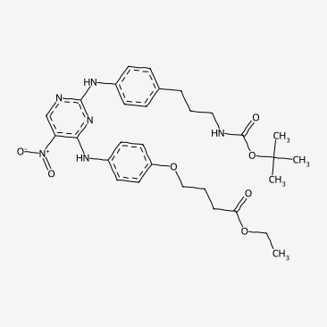 CCOC(=O)CCCOc1ccc(Nc2nc(Nc3ccc(CCCNC(=O)OC(C)(C)C)cc3)ncc2[N+](=O)[O-])cc1